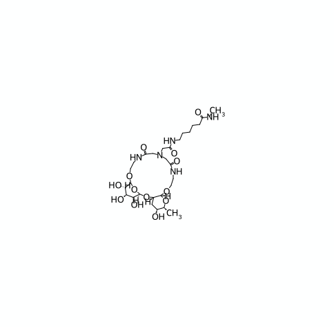 CNC(=O)CCCCCNC(=O)CN1CC(=O)NCCO[C@@H]2O[C@@H](O[C@H]3C[C@H](O)[C@H](C)O[C@H]3OCCNC(=O)C1)[C@@H](O)[C@@H](O)[C@@H]2O